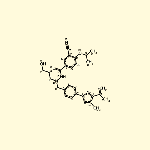 C=C(C)c1nc(-c2ccc(CN(CCCO)NC(=O)c3ccc(OC(C)C)c(C#N)c3)cc2)cn1C